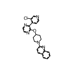 Clc1cnccc1-c1nccnc1OC1CCN(c2ccc3ccccc3n2)CC1